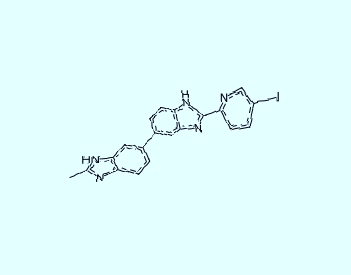 Cc1nc2ccc(-c3ccc4[nH]c(-c5ccc(I)cn5)nc4c3)cc2[nH]1